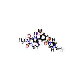 CCCn1c(=O)n(C)c(=O)c2[nH]c(-c3cc(S(=O)(=O)N4C[C@@H]5C[C@H]4CN5C)ccc3OCC)c(I)c21